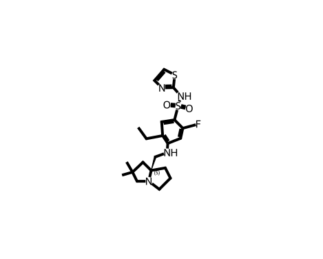 CCc1cc(S(=O)(=O)Nc2nccs2)c(F)cc1NC[C@@]12CCCN1CC(C)(C)C2